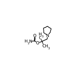 CC(C)(CN1CCCCC1)OC(N)=O